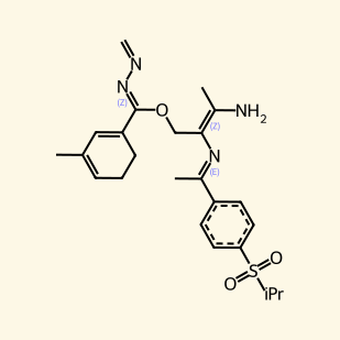 C=N/N=C(\OCC(/N=C(\C)c1ccc(S(=O)(=O)C(C)C)cc1)=C(\C)N)C1=CC(C)=CCC1